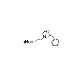 CCCCCCCCCCCCN1CCOC(Cc2ccccc2)C1